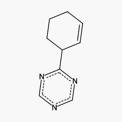 C1=CC(c2ncncn2)CCC1